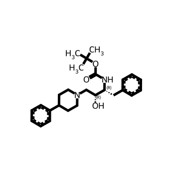 CC(C)(C)OC(=O)N[C@H](Cc1ccccc1)[C@H](O)CN1CCC(c2ccccc2)CC1